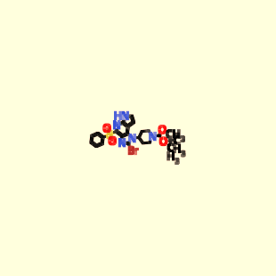 CC(C)(C)OC(=O)N1CCC(n2c(Br)nc3c(S(=O)(=O)c4ccccc4)nc4[nH]ccc4c32)CC1